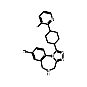 Fc1cccnc1C1CCC(c2nnc3n2-c2ccc(Cl)cc2CNC3)CC1